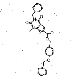 Cn1c(=O)n(Cc2ccccc2)c(=O)c2cc(C(=O)OCc3ccc(OCc4ccccc4)cc3)sc21